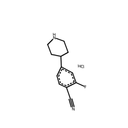 Cl.N#Cc1ccc(C2CCNCC2)cc1F